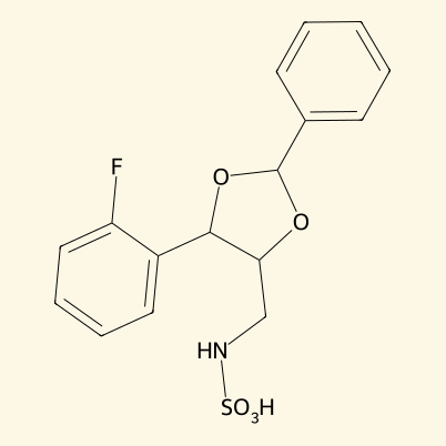 O=S(=O)(O)NCC1OC(c2ccccc2)OC1c1ccccc1F